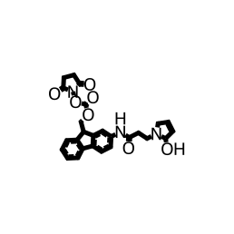 O=C(CCN1CC=CC1O)Nc1ccc2c(c1)C(COC(=O)ON1C(=O)CCC1=O)c1ccccc1-2